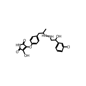 CC(Cc1ccc(OC2=C(O)C(=O)NC2=O)cc1)NNCC(O)c1cccc(Cl)c1